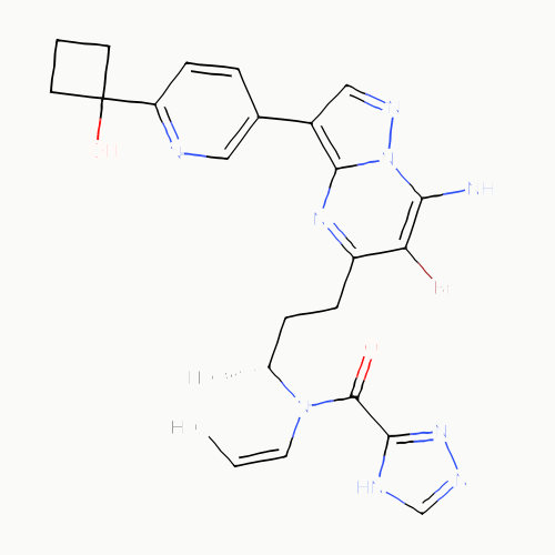 C/C=C\N(C(=O)c1nnc[nH]1)[C@H](C)CCc1nc2c(-c3ccc(C4(O)CCC4)nc3)cnn2c(N)c1Br